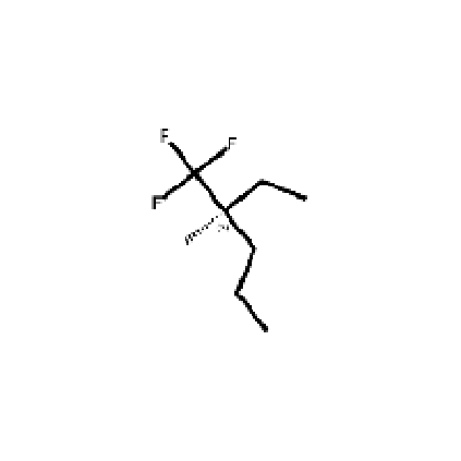 CCC[C@](C)(CC)C(F)(F)F